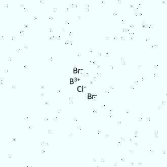 [B+3].[Br-].[Br-].[Cl-]